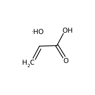 C=CC(=O)O.[OH]